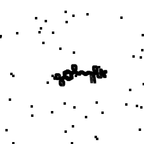 COC(=O)c1ccc(C(=O)CCCCNC(=O)OC(C)(C)C)cc1